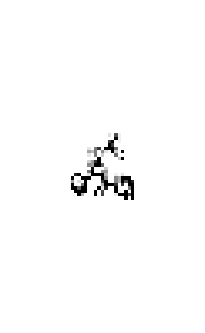 O=C(O)Nc1nc(-c2ccco2)c(C(=O)c2cnccn2)s1